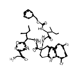 CCC(C)C(NC(=O)OCc1ccccc1)C(=O)N[C@]1(C(=O)NC(c2nc(C(N)=O)no2)C(C)CC)CCc2[nH]c3c(Cl)cc(Cl)cc3c2C1